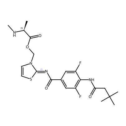 CN[C@@H](C)C(=O)OCn1ccs/c1=N\C(=O)c1cc(F)c(NC(=O)CC(C)(C)C)c(F)c1